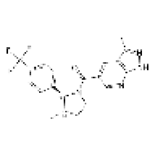 Cc1n[nH]c2ncc(C(=O)N3CC[C@H](C)[C@H]3c3ccc(C(F)(F)F)cc3)cc12